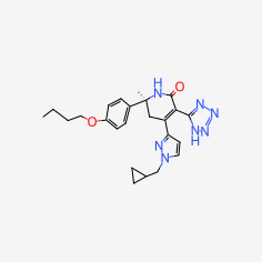 CCCCOc1ccc([C@]2(C)CC(c3ccn(CC4CC4)n3)=C(c3nnn[nH]3)C(=O)N2)cc1